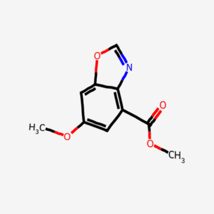 COC(=O)c1cc(OC)cc2ocnc12